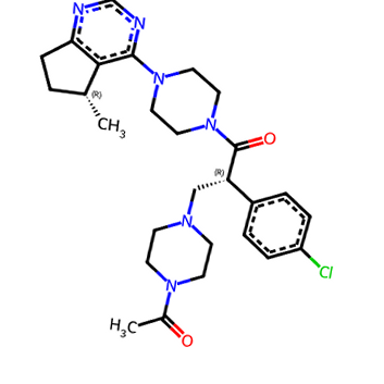 CC(=O)N1CCN(C[C@H](C(=O)N2CCN(c3ncnc4c3[C@H](C)CC4)CC2)c2ccc(Cl)cc2)CC1